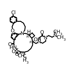 C[C@@H]1[C@@H](C)CCC[C@](O)(CN2CCN(CCN(C)C)C(=O)C2)C2CC[C@H]2CN2CCCCc3cc(Cl)ccc3COc3ccc(cc32)C(=O)NS1(=O)=O